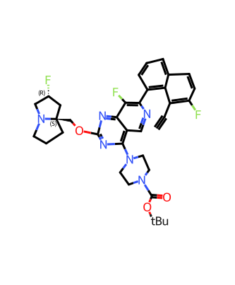 C#Cc1c(F)ccc2cccc(-c3ncc4c(N5CCN(C(=O)OC(C)(C)C)CC5)nc(OC[C@@]56CCCN5C[C@H](F)C6)nc4c3F)c12